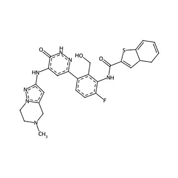 CN1CCn2nc(Nc3cc(-c4ccc(F)c(NC(=O)C5=CC6CC=CC=C6S5)c4CO)n[nH]c3=O)cc2C1